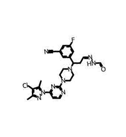 Cc1nn(-c2ccnc(N3CCN(C(C/C=N\NC=O)c4cc(F)cc(C#N)c4)CC3)n2)c(C)c1Cl